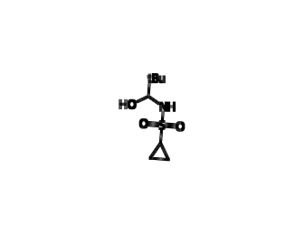 CC(C)(C)C(O)NS(=O)(=O)C1CC1